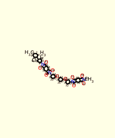 Cc1ccc(-c2ccc(-n3c(=O)c4cc5c(=O)n(-c6cccc(Oc7cccc(Oc8cccc(-n9c(=O)c%10cc%11c(=O)n(C)c(=O)c%11cc%10c9=O)c8)c7)c6)c(=O)c5cc4c3=O)cc2C)c(C)c1